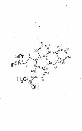 CC(C)N(CCC(c1ccccc1)c1cc([C@@H](C)O)ccc1OCc1ccccc1)C(C)C